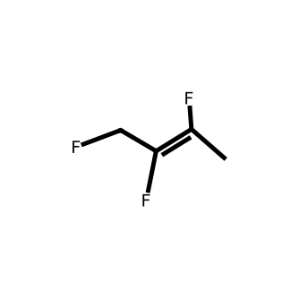 C/C(F)=C(\F)CF